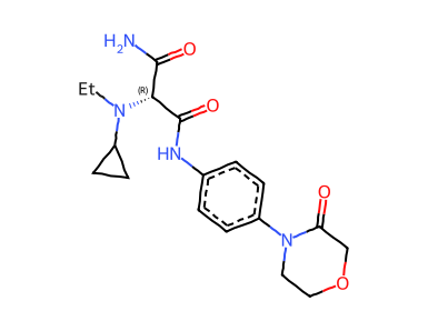 CCN(C1CC1)[C@H](C(N)=O)C(=O)Nc1ccc(N2CCOCC2=O)cc1